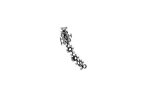 CC(=O)N1CCN(c2ccc(CCc3ccc(CCNC(=O)NNC(=O)OC(C)(C)C)cc3)nc2)CC1